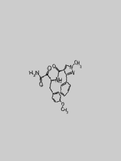 COc1ccc(CC(NC(=O)c2cn(C)nc2-c2ccccc2)C(=O)C(N)=O)cc1